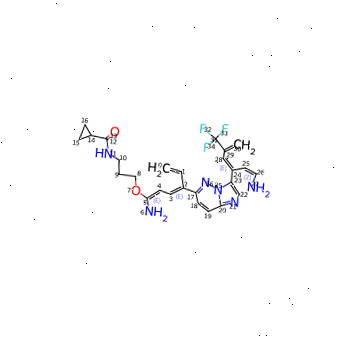 C=C/C(=C\C=C(/N)OCCCNC(=O)C1CC1)c1ccc2ncc(C(/C=C\N)=C/C(=C)C(F)(F)F)n2n1